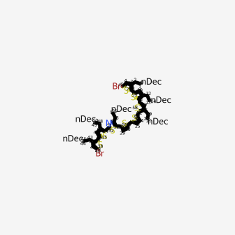 CCCCCCCCCCCCc1cc(Br)sc1-c1cc(CCCCCCCCCCCC)c(-c2cc(CCCCCCCCCCCC)c(-c3ccc(-c4ccc(-c5sc(-c6sc(-c7sc(Br)cc7CCCCCCCCCCCC)cc6CCCCCCCCCCCC)nc5CCCCCCCCCCCC)s4)s3)s2)s1